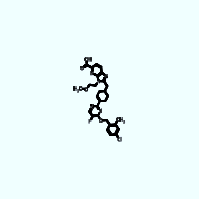 COCCn1c(CC2CC=C(c3ncc(F)c(OCc4ccc(Cl)cc4C)n3)CC2)nc2ccc(C(=O)O)nc21